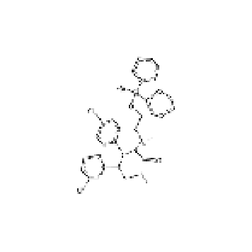 CC1CC(c2cccc(Cl)c2)C(c2ccc(Cl)cn2)N([C@@H](C)CCO[Si](c2ccccc2)(c2ccccc2)C(C)(C)C)C1=O